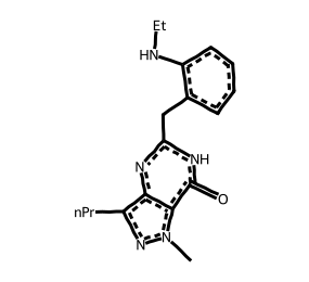 CCCc1nn(C)c2c(=O)[nH]c(Cc3ccccc3NCC)nc12